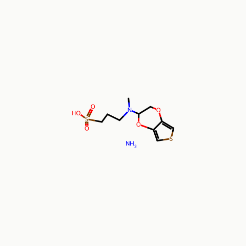 CN(CCCS(=O)(=O)O)C1COc2cscc2O1.N